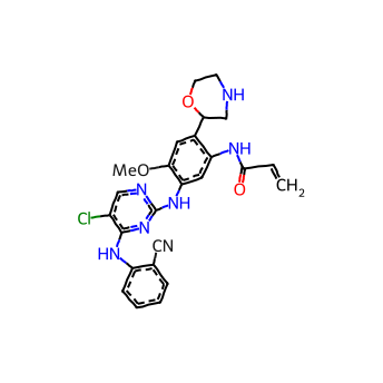 C=CC(=O)Nc1cc(Nc2ncc(Cl)c(Nc3ccccc3C#N)n2)c(OC)cc1C1CNCCO1